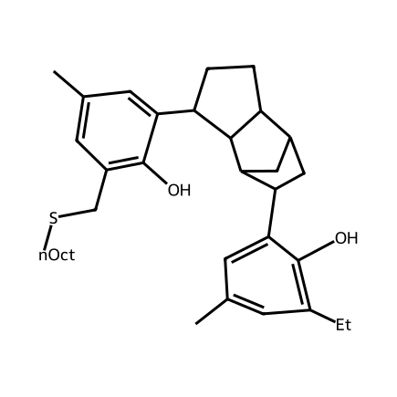 CCCCCCCCSCc1cc(C)cc(C2CCC3C4CC(c5cc(C)cc(CC)c5O)C(C4)C23)c1O